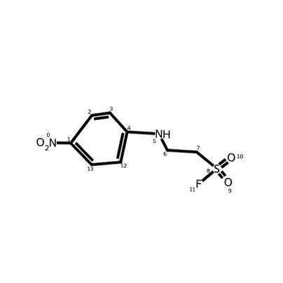 O=[N+]([O-])c1ccc(NCCS(=O)(=O)F)cc1